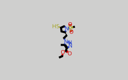 CCOC(=O)c1nnn(CC[C@H]2C[C@@H](S)CN2S(C)(=O)=O)c1C